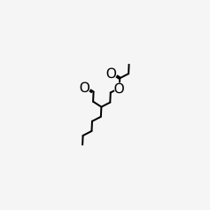 CCCCCC(CC=O)CCOC(=O)CC